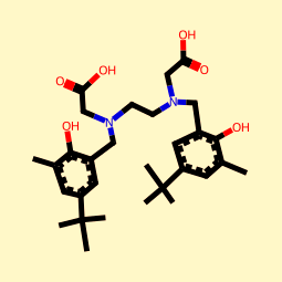 Cc1cc(C(C)(C)C)cc(CN(CCN(CC(=O)O)Cc2cc(C(C)(C)C)cc(C)c2O)CC(=O)O)c1O